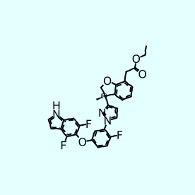 CCOC(=O)Cc1cccc2c1OC[C@@]2(C)c1ccn(-c2cc(Oc3c(F)cc4[nH]ccc4c3F)ccc2F)n1